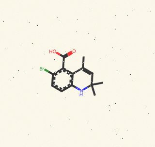 CC1=CC(C)(C)Nc2ccc(Br)c(C(=O)O)c21